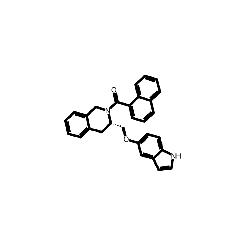 O=C(c1cccc2ccccc12)N1Cc2ccccc2C[C@H]1COc1ccc2[nH]ccc2c1